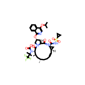 CC(C)Oc1cnc(O[C@@H]2C[C@H]3C(=O)N[C@]4(C(=O)NS(=O)(=O)C5CC5)C[C@H]4C=CCC[C@H](C)C[C@@H](C)[C@H](N(C(=O)O)C(C)(C)C(F)(F)F)C(=O)N3C2)c2ccccc12